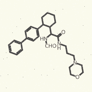 O=[C]NC(C(=O)NCCCN1CCOCC1)C1CCCCC1c1ccc(-c2ccccc2)cc1